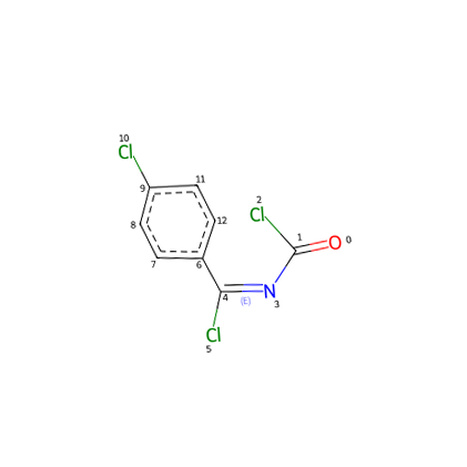 O=C(Cl)/N=C(/Cl)c1ccc(Cl)cc1